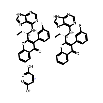 CC[C@H](Nc1ncnc2[nH]cnc12)c1oc2ccccc2c(=O)c1-c1cccc(F)c1.CC[C@H](Nc1ncnc2[nH]cnc12)c1oc2ccccc2c(=O)c1-c1cccc(F)c1.O=C(O)/C=C\C(=O)O